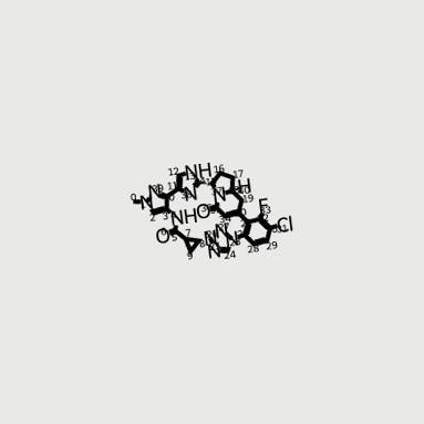 Cn1cc(NC(=O)C2CC2)c(-c2c[nH]c([C@@H]3CC[C@H]4CC(c5c(-n6cnnn6)ccc(Cl)c5F)=CC(=O)N43)n2)n1